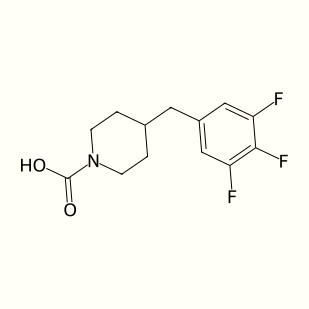 O=C(O)N1CCC(Cc2cc(F)c(F)c(F)c2)CC1